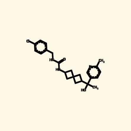 Cc1ccc(C(C)(O)C2CC3(CC(NC(=O)NCc4ccc(Cl)cc4)C3)C2)cn1